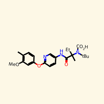 CCC(C)(C(=O)Nc1ccc(Oc2ccc(C)c(OC)c2)nc1)N(C(=O)O)C(C)(C)C